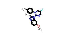 COc1ccc2nc(C)n(C3N=CC(F)=CN3c3ccc(C)cc3)c2c1